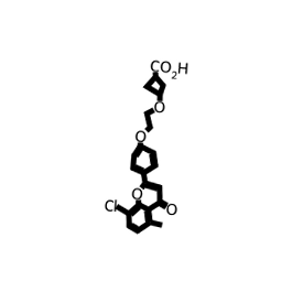 Cc1ccc(Cl)c2oc(-c3ccc(OCCOC4CC(C(=O)O)C4)cc3)cc(=O)c12